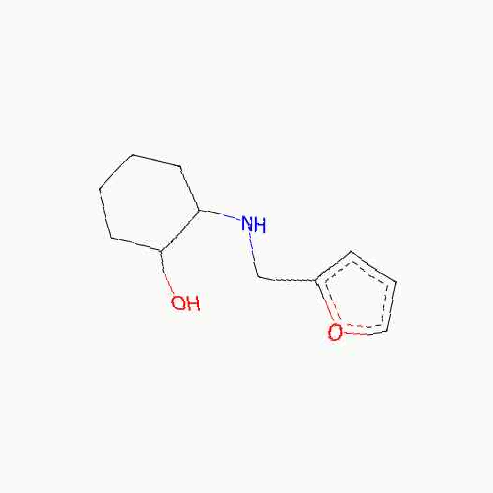 OC1CCCCC1NCc1ccco1